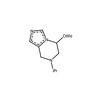 COC1CN(C(C)C)Cc2cncn21